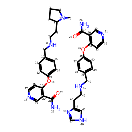 CN1CCCC1CCNCc1ccc(Oc2ccncc2C(N)=O)cc1.NC(=O)c1cnccc1Oc1ccc(CNCCc2c[nH]cn2)cc1